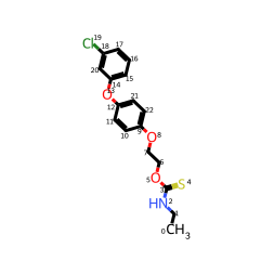 CCNC(=S)OCCOc1ccc(Oc2cccc(Cl)c2)cc1